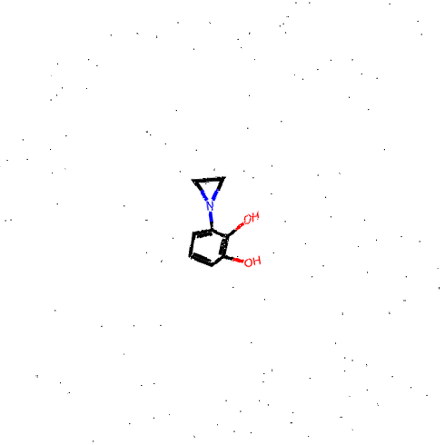 Oc1cccc(N2CC2)c1O